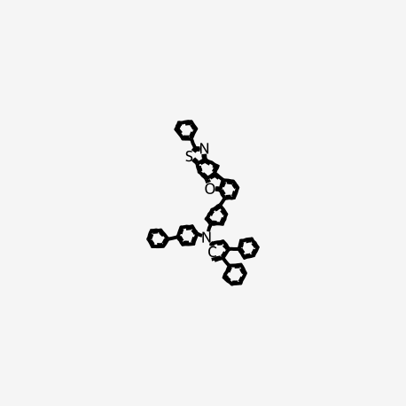 c1ccc(-c2ccc(N(c3ccc(-c4cccc5c4oc4cc6sc(-c7ccccc7)nc6cc45)cc3)c3ccc(-c4ccccc4)c(-c4ccccc4)c3)cc2)cc1